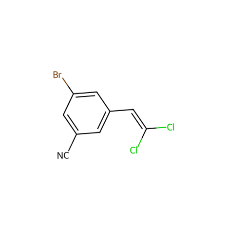 N#Cc1cc(Br)cc(C=C(Cl)Cl)c1